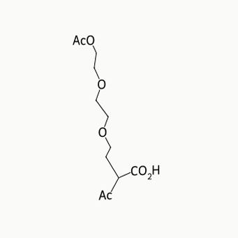 CC(=O)OCCOCCOCCC(C(C)=O)C(=O)O